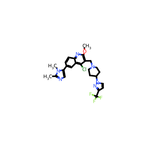 COc1nc2ccc(-c3cnc(C)n3C)cc2c(Cl)c1CN1CCC(n2ccc(C(F)(F)F)n2)CC1